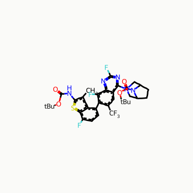 Cc1c(NC(=O)OC(C)(C)C)sc2c(F)ccc(-c3c(C(F)(F)F)cc4c(N5CC6CCC(C5)N6C(=O)OC(C)(C)C)nc(F)nc4c3F)c12